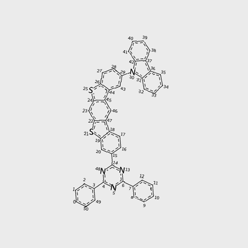 c1ccc(-c2nc(-c3ccccc3)nc(-c3ccc4c(c3)sc3cc5sc6ccc(-n7c8ccccc8c8ccccc87)cc6c5cc34)n2)cc1